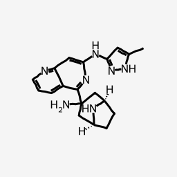 Cc1cc(Nc2cc3ncccc3c(C3(N)C[C@H]4CC[C@@H](C3)N4)n2)n[nH]1